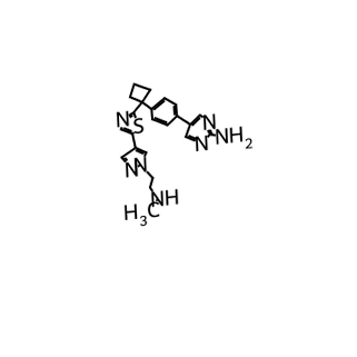 CNCCn1cc(-c2cnc(C3(c4ccc(-c5cnc(N)nc5)cc4)CCC3)s2)cn1